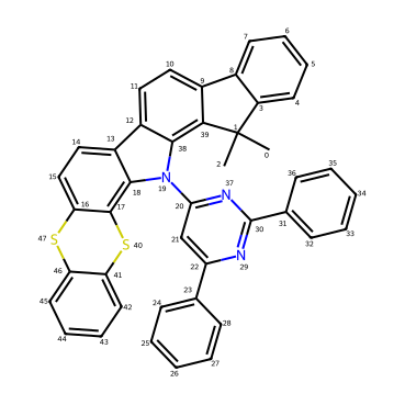 CC1(C)c2ccccc2-c2ccc3c4ccc5c(c4n(-c4cc(-c6ccccc6)nc(-c6ccccc6)n4)c3c21)Sc1ccccc1S5